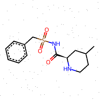 CC1CCN[C@@H](C(=O)NS(=O)(=O)Cc2ccccc2)C1